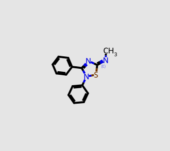 C/N=c1\nc(-c2ccccc2)n(-c2ccccc2)s1